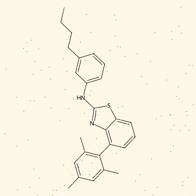 CCCCc1cccc(Nc2nc3c(-c4c(C)cc(C)cc4C)cccc3s2)c1